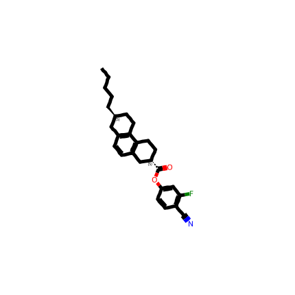 CCCCC[C@H]1CCc2c(ccc3c2CC[C@H](C(=O)Oc2ccc(C#N)c(F)c2)C3)C1